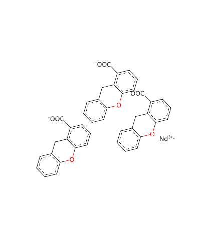 O=C([O-])c1cccc2c1Cc1ccccc1O2.O=C([O-])c1cccc2c1Cc1ccccc1O2.O=C([O-])c1cccc2c1Cc1ccccc1O2.[Nd+3]